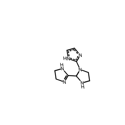 c1c[nH]c(N2CCN[C]2C2=NCCN2)n1